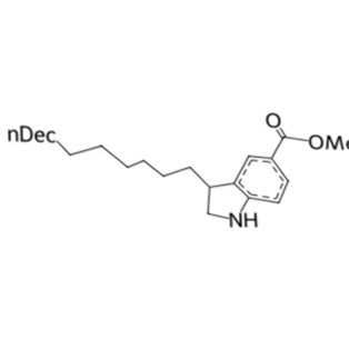 CCCCCCCCCCCCCCCCC1CNc2ccc(C(=O)OC)cc21